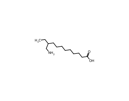 CCC(CN)CCCCCCCCC(=O)O